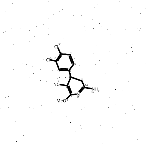 COC1=C(C#N)C(c2ccc(Cl)c(Cl)c2)CC(N)=N1